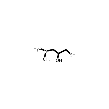 CN(C)CC(O)CS